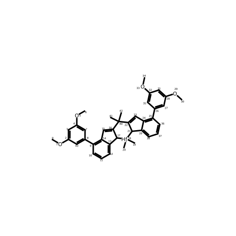 COc1cc(OC)cc(-c2cccc3c2C=C2[CH]3[Hf]([CH3])([CH3])[CH]3C(=Cc4c(-c5cc(OC)cc(OC)c5)cccc43)C2(C)C)c1